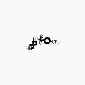 O=S(=O)(NC1CC2(CNC2)C1)c1ccc(C(F)(F)F)cc1